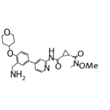 CON(C)C(=O)[C@@H]1CC1C(=O)Nc1cc(-c2ccc(OC3CCOCC3)c(CN)c2)ccn1